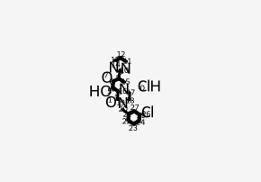 Cl.O=C1c2c(O)c(=O)c(-c3ncccn3)cn2CCN1Cc1cccc(Cl)c1